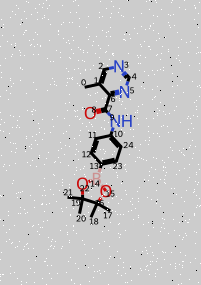 Cc1cncnc1C(=O)Nc1ccc(B2OC(C)(C)C(C)(C)O2)cc1